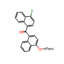 CCCCCOc1ccc(C(=O)c2ccc(F)c3ccccc23)c2ccccc12